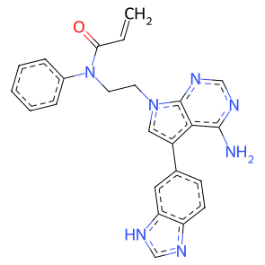 C=CC(=O)N(CCn1cc(-c2ccc3nc[nH]c3c2)c2c(N)ncnc21)c1ccccc1